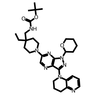 CCC1(CNC(=O)OC(C)(C)C)CCN(c2cnc3c(N4CCCc5ncccc54)nn(C4CCCCO4)c3n2)CC1